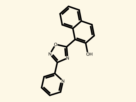 Oc1ccc2ccccc2c1-c1nc(-c2ccccn2)no1